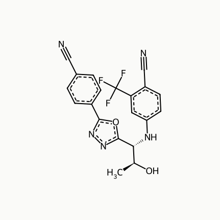 C[C@H](O)[C@@H](Nc1ccc(C#N)c(C(F)(F)F)c1)c1nnc(-c2ccc(C#N)cc2)o1